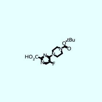 CC(C)(C)OC(=O)N1CCN(c2nc(C(=O)O)ncc2F)CC1